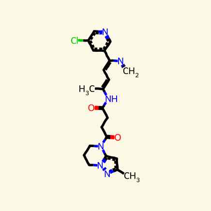 C=N/C(=C\C=C(/C)NC(=O)CCC(=O)N1CCCn2nc(C)cc21)c1cncc(Cl)c1